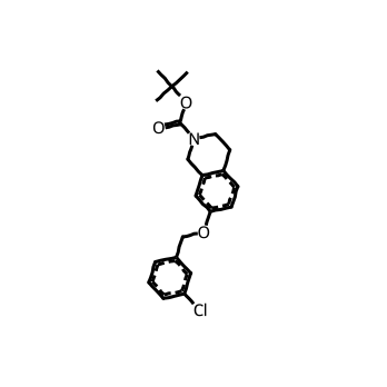 CC(C)(C)OC(=O)N1CCc2ccc(OCc3cccc(Cl)c3)cc2C1